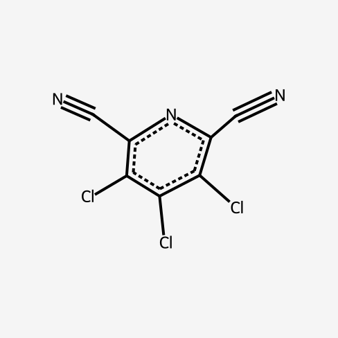 N#Cc1nc(C#N)c(Cl)c(Cl)c1Cl